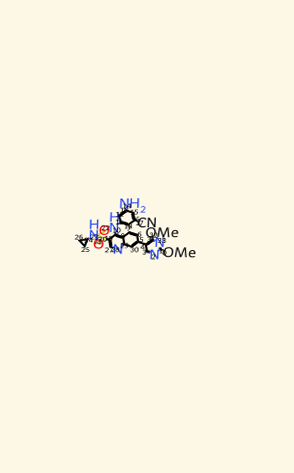 COc1ncc(-c2ccc3c(Nc4cc(N)cc(C#N)c4)c(S(=O)(=O)NC4CC4)cnc3c2)c(OC)n1